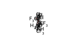 NN(CC(=O)NCC(F)(F)F)C(=O)c1ccc(/C(F)=C/C(c2cc(Cl)c(Cl)c(Cl)c2)C(F)(F)F)cc1C(F)(F)F